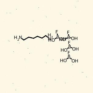 NCCCCCCN.OB(O)F.OB(O)F.OB(O)F.OB(O)F